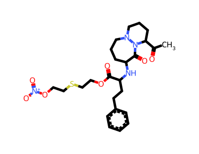 CC(=O)C1CCCN2CCCC(NC(CCc3ccccc3)C(=O)OCCSCCO[N+](=O)[O-])C(=O)N12